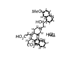 COc1ccc2nccc([C@@H](O)CN3CCC(N(CC(=O)O)C(CC(=O)O)c4cc5cccnc5[nH]4)CC3)c2c1.Cl.Cl